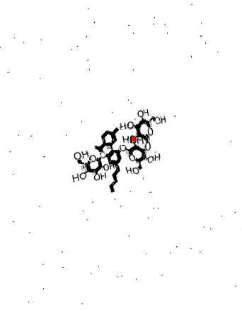 C=C(C)C1CCC(C)=C[C@H]1c1c(O[C@@H]2O[C@H](CO)[C@@H](O)[C@H](O)[C@H]2O)cc(CCCCC)cc1O[C@@H]1O[C@H](CO)[C@@H](O)[C@H](O[C@@H]2O[C@H](CO)[C@@H](O)[C@H](O)[C@H]2O)[C@H]1O